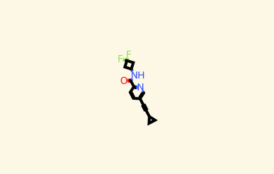 O=C(NC1CC(F)(F)C1)c1ccc(C#CC2CC2)cn1